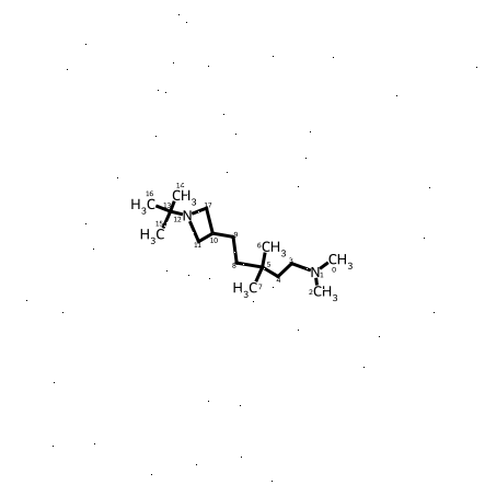 CN(C)CCC(C)(C)CCC1CN(C(C)(C)C)C1